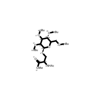 CCCCOCC1O[C@@H](SCC(NC(C)=O)C(=O)OC)C(OCCCC)C(OCCCC)[C@@H]1OCCCC